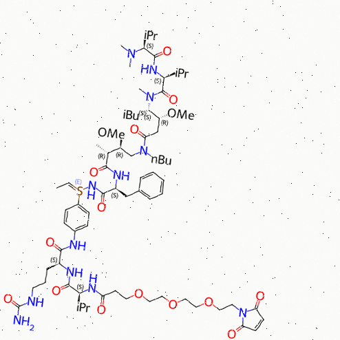 C/C=S(/NC(=O)[C@H](Cc1ccccc1)NC(=O)[C@H](C)[C@H](CN(CCCC)C(=O)C[C@@H](OC)[C@H]([C@@H](C)CC)N(C)C(=O)[C@@H](NC(=O)[C@H](C(C)C)N(C)C)C(C)C)OC)c1ccc(NC(=O)[C@H](CCCNC(N)=O)NC(=O)[C@@H](NC(=O)CCOCCOCCOCCN2C(=O)C=CC2=O)C(C)C)cc1